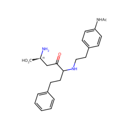 CC(=O)Nc1ccc(CCNC(CCc2ccccc2)C(=O)C[C@H](N)C(=O)O)cc1